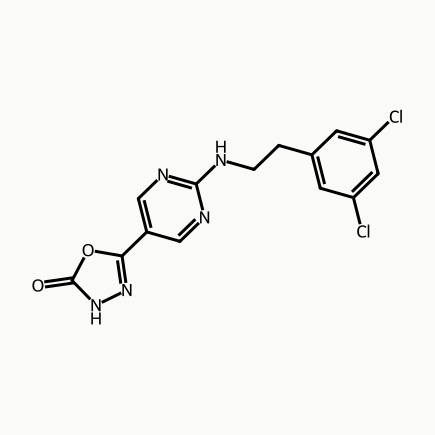 O=c1[nH]nc(-c2cnc(NCCc3cc(Cl)cc(Cl)c3)nc2)o1